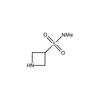 CNS(=O)(=O)C1CNC1